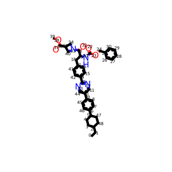 CCC1CCC(c2ccc(-c3cnc(-c4ccc(CC(NC(=O)OCc5ccccc5)C(=O)N5CC(C(=O)OC)C5)cc4)nc3)cc2)CC1